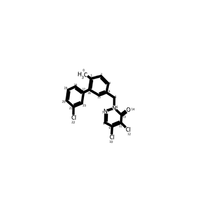 Cc1ccc(Cn2ncc(Cl)c(Cl)c2=O)cc1-c1cccc(Cl)c1